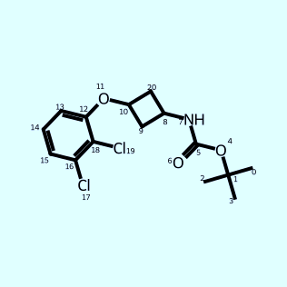 CC(C)(C)OC(=O)NC1CC(Oc2cccc(Cl)c2Cl)C1